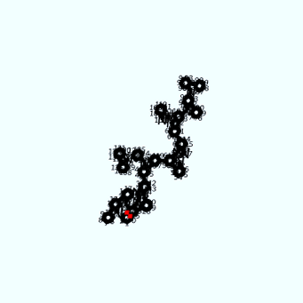 c1ccc(-n2c3ccccc3c3ccc4c5ccccc5n(-c5cccc6c7cccc8c7n(c56)c5nc6cc(-c7ccc9c(c7)c7cc(-c%10cc%11c%12ccccc%12n%12c%11c(c%10)n%10c%11cc(-c%13ccc%14c(c%13)c%13cc(-n%15c%16ccccc%16c%16cc(-n%17c%18ccccc%18c%18ccccc%18%17)ccc%16%15)cc%15c%13n%14c%13nc%14ccccc%14n%15%13)ccc%11nc%10%12)ccc7n9-c7cccc(-n9c%10ccccc%10c%10ccccc%109)c7)ccc6n85)c4c32)cc1